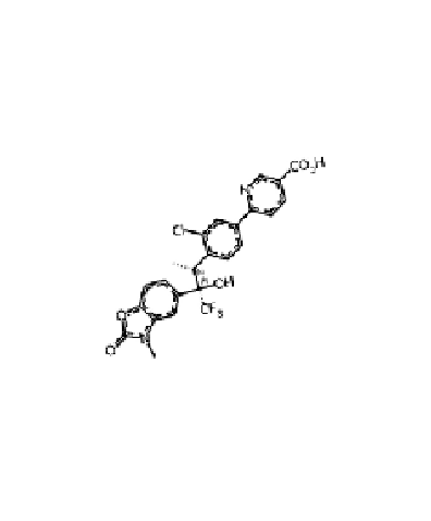 C[C@H](c1ccc(-c2ccc(C(=O)O)cn2)cc1Cl)[C@@](O)(c1ccc2oc(=O)n(C)c2c1)C(F)(F)F